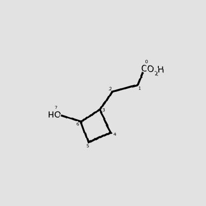 O=C(O)CCC1CCC1O